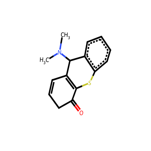 CN(C)C1C2=C(Sc3ccccc31)C(=O)CC=C2